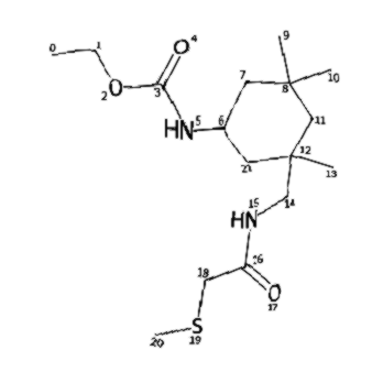 CCOC(=O)NC1CC(C)(C)CC(C)(CNC(=O)CSC)C1